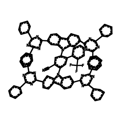 N#Cc1cc(-n2c3cc(-c4nc(-c5ccccc5)nc(-c5ccccc5)n4)ccc3c3ccc(-c4nc(-c5ccccc5)nc(-c5ccccc5)n4)cc32)c(-c2ccccc2C(F)(F)F)cc1-n1c2cc(-c3nc(-c4ccccc4)nc(-c4ccccc4)n3)ccc2c2ccc(-c3nc(-c4ccccc4)nc(-c4ccccc4)n3)cc21